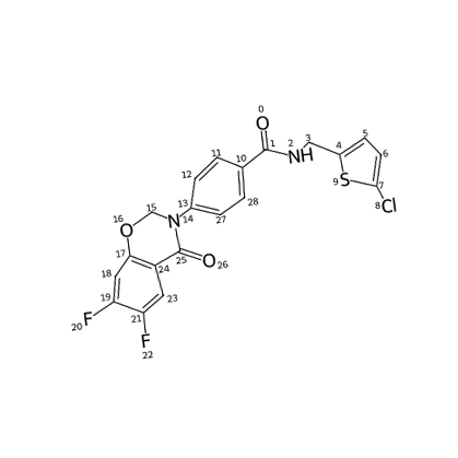 O=C(NCc1ccc(Cl)s1)c1ccc(N2COc3cc(F)c(F)cc3C2=O)cc1